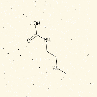 CNCCNC(=O)O